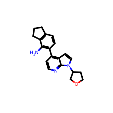 Nc1c(-c2ccnc3c2ccn3C2CCOC2)ccc2c1CCC2